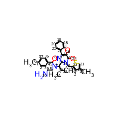 Cc1ccc(C(=O)N(CCN)C(c2nc3c(oc4ccccc43)c(=O)n2Cc2cc(C)cs2)C(C)C)cc1